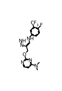 CN(C)c1ccnc(OC/C(=C/Nc2ccc(F)c(C(F)(F)F)c2)N=N)n1